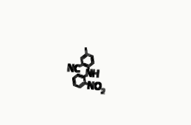 Cc1ccc(Nc2ccccc2[N+](=O)[O-])c(C#N)c1